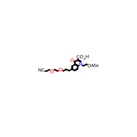 COCCn1cc(C(=O)O)c(=O)c2cc(CCCOCCOCCC#N)ccc21